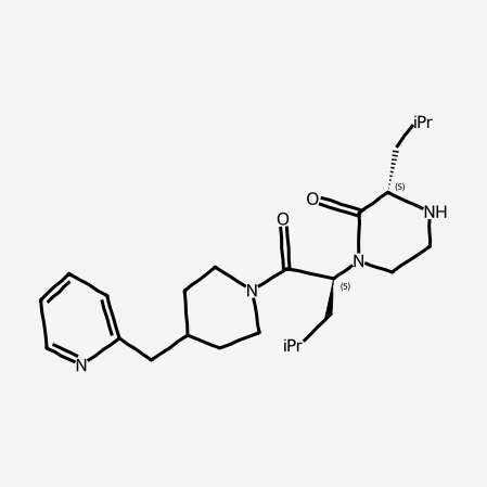 CC(C)C[C@@H]1NCCN([C@@H](CC(C)C)C(=O)N2CCC(Cc3ccccn3)CC2)C1=O